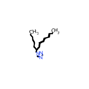 CCCCCCCCC(CCCCCC)Cn1cncn1